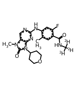 [2H]C([2H])([2H])NC(=O)c1cc(C)c(Nc2ncc3c(n2)n(C2CCOCC2)c(=O)n3C)cc1F